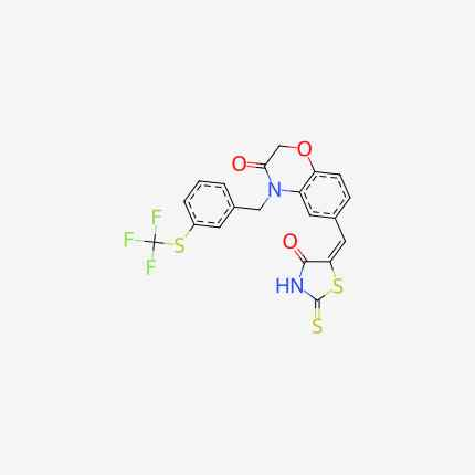 O=C1NC(=S)SC1=Cc1ccc2c(c1)N(Cc1cccc(SC(F)(F)F)c1)C(=O)CO2